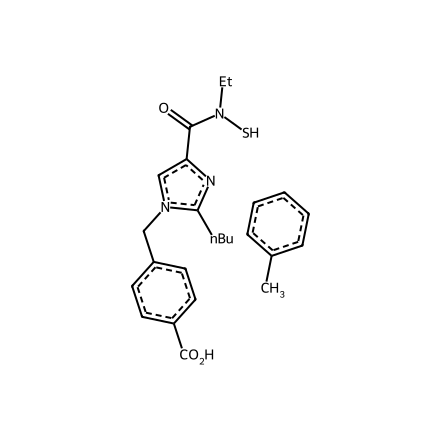 CCCCc1nc(C(=O)N(S)CC)cn1Cc1ccc(C(=O)O)cc1.Cc1ccccc1